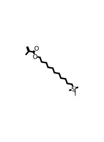 C=C(C)C(=O)OCCCCCCCCCCC[Si](C)(C)I